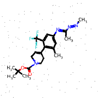 C/N=N/C(C)=N/c1cc(C)c(C2=CCN(C(=O)OC(C)(C)C)CC2)c(C(F)(F)F)c1